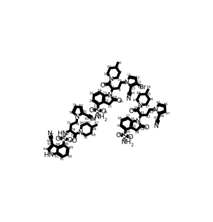 CC1CCN(C(=O)C(CCn2ccc(Br)c2C#N)N2C(=O)Cc3c2cccc3S(N)(=O)=O)CC1.CC1CCN(C(=O)C(CCn2cccc2C#N)N2C(=O)Cc3c2cccc3S(N)(=O)=O)CC1.CC1CCN(C(=O)C(CCn2cccc2C#N)NS(=O)(=O)c2cccc3[nH]cc(C#N)c23)CC1